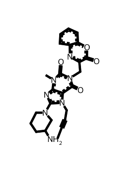 CC#CCn1c(N2CCCC(N)C2)nc2c1c(=O)n(Cc1nc3ccccc3oc1=O)c(=O)n2C